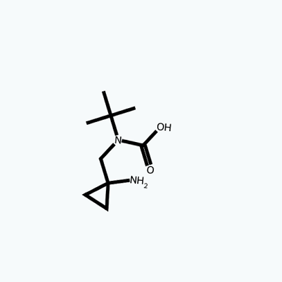 CC(C)(C)N(CC1(N)CC1)C(=O)O